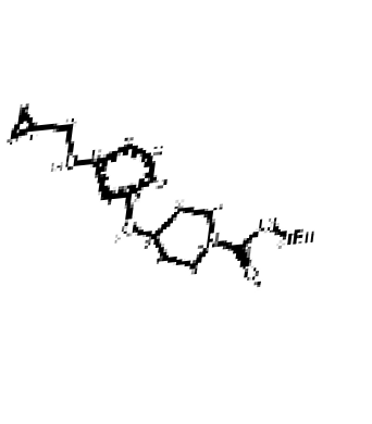 CC(C)(C)OC(=O)N1CCC(Oc2cccc(OCC3CC3)c2)CC1